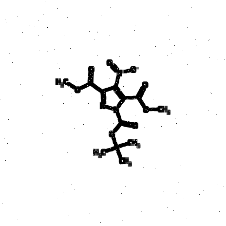 COC(=O)c1nn(C(=O)OC(C)(C)C)c(C(=O)OC)c1[N+](=O)[O-]